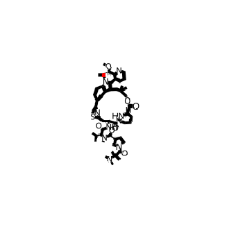 CCn1c(-c2cccnc2[C@H](C)OC)c2c3cc(ccc31)-c1csc(n1)C[C@H](NC(=O)[C@H](C(C)C)N(C)C(=O)[C@H]1CCN(C(=O)C(C)(C)N(C)C)C1)C(=O)N1CCC[C@H](N1)C(=O)OCC(C)(C)C2